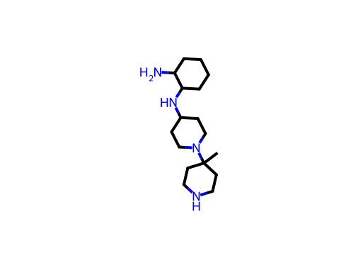 CC1(N2CCC(NC3CCCCC3N)CC2)CCNCC1